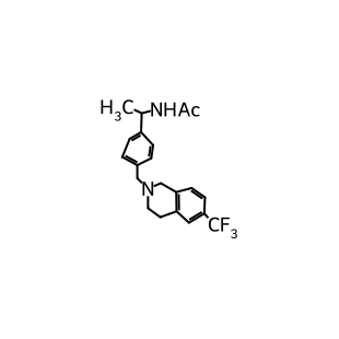 CC(=O)NC(C)c1ccc(CN2CCc3cc(C(F)(F)F)ccc3C2)cc1